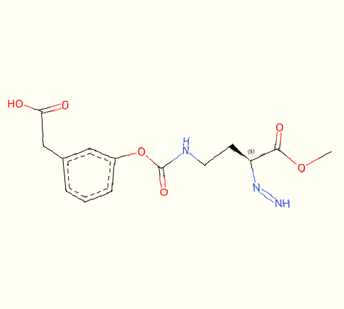 COC(=O)[C@H](CCNC(=O)Oc1cccc(CC(=O)O)c1)N=N